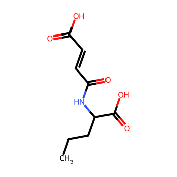 CCCC(NC(=O)C=CC(=O)O)C(=O)O